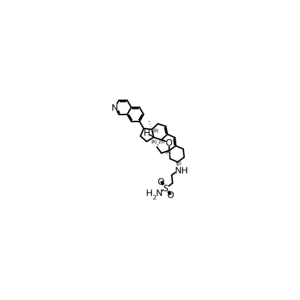 C[C@]12CC=C3C=C4CC[C@H](NCCS(N)(=O)=O)C[C@]45CC[C@]3(O5)[C@@H]1CCC2c1ccc2ccncc2c1